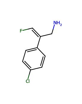 NC/C(=C/F)c1ccc(Cl)cc1